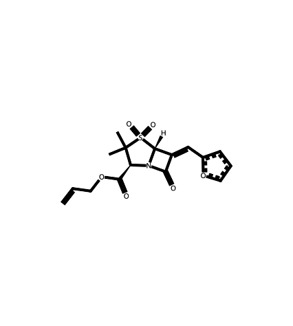 C=CCOC(=O)[C@@H]1N2C(=O)/C(=C\c3ccco3)[C@H]2S(=O)(=O)C1(C)C